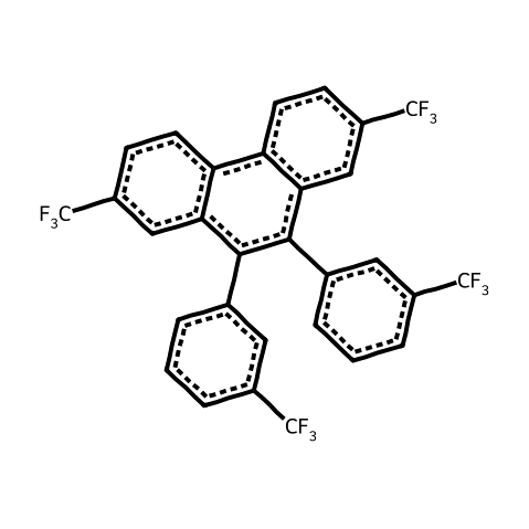 FC(F)(F)c1cccc(-c2c(-c3cccc(C(F)(F)F)c3)c3cc(C(F)(F)F)ccc3c3ccc(C(F)(F)F)cc23)c1